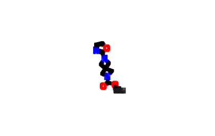 CC(C)(C)OC(=O)N1CC2(C1)CN(c1ncco1)C2